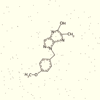 COc1ccc(Cn2ncc3nc(O)c(C)nc32)cc1